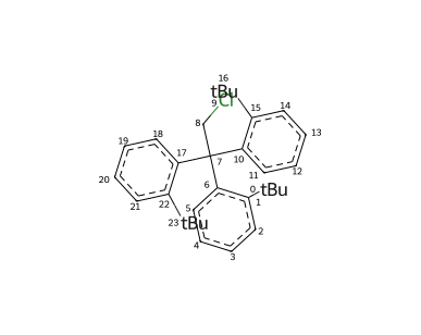 CC(C)(C)c1ccccc1C(CCl)(c1ccccc1C(C)(C)C)c1ccccc1C(C)(C)C